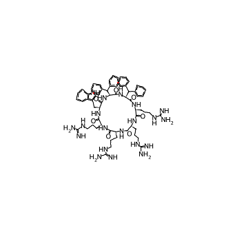 N=C(N)NCCC[C@@H]1NC(=O)[C@H](CCCNC(=N)N)NC(=O)[C@H](CCCNC(=N)N)NC(=O)[C@H](C(c2ccccc2)c2ccccc2)NC(=O)[C@H](C(c2ccccc2)c2ccccc2)NC(=O)[C@H](Cc2c[nH]c3ccccc23)NC(=O)[C@H](CCCNC(=N)N)NC1=O